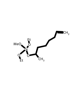 C=CCCCCC(C)O[Si](OC)(OCC)OCC